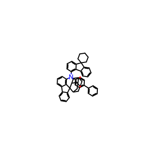 c1ccc(-c2ccc(N(c3cccc4c3-c3ccccc3C43CCCCC3)c3cccc4c3C3(c5ccccc5-4)C4CC5CC(C4)CC3C5)cc2)cc1